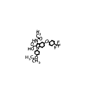 CC(=O)Nc1c(C(=O)O)n(-c2ccc(OC(C)C)cc2)c2ccc(Oc3ccc(C(F)(F)F)cc3)cc12